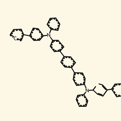 C/C=C(\C=C/C(C)N(c1ccccc1)c1ccc(-c2ccc(-c3ccc(N(c4ccccc4)c4ccc(-c5ccccc5)cc4)cc3)cc2)cc1)c1ccccc1